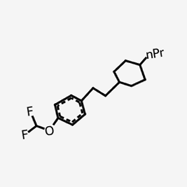 CCCC1CCC(CCc2ccc(OC(F)F)cc2)CC1